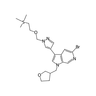 CS(C)(C)CCOCn1cc(-c2cn(CC3CCOC3)c3cnc(Br)cc23)cn1